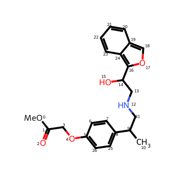 COC(=O)COc1ccc(C(C)CNCC(O)c2occ3ccccc23)cc1